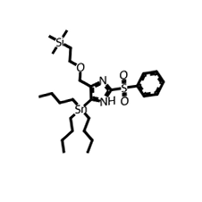 CCC[CH2][Sn]([CH2]CCC)([CH2]CCC)[c]1[nH]c(S(=O)(=O)c2ccccc2)nc1COCC[Si](C)(C)C